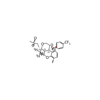 [2H]C([2H])([2H])[C@@]1(CCS(C)(=O)=O)OCC[C@@]2(S(=O)(=O)c3ccc(C(F)(F)F)cc3)c3c(F)ccc(F)c3OC[C@@H]12